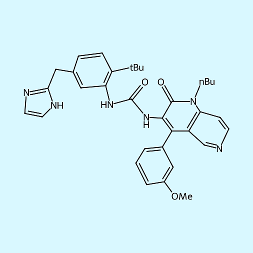 CCCCn1c(=O)c(NC(=O)Nc2cc(Cc3ncc[nH]3)ccc2C(C)(C)C)c(-c2cccc(OC)c2)c2cnccc21